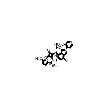 Cc1ccc([C@H](Nc2c(Nc3ccc(Cl)c4c3C(O)N(c3ccncc3C(=O)O)C4)c(=O)c2=O)C(C)(C)C)o1